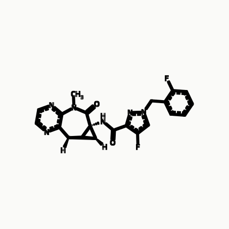 CN1C(=O)[C@]2(NC(=O)c3nn(Cc4ccccc4F)cc3F)C3[C@@H](c4nccnc41)[C@H]32